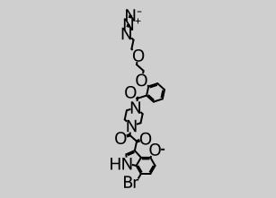 COc1ccc(Br)c2[nH]cc(C(=O)C(=O)N3CCN(C(=O)c4ccccc4OCCOCCN=[N+]=[N-])CC3)c12